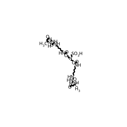 Cc1cc(=O)nc(NC(=O)NCCCCCCNC(=O)OCCN(CCOC(=O)NCCCCCCNC(=O)Nc2nc(=O)cc(C)[nH]2)CCS(=O)(=O)O)[nH]1